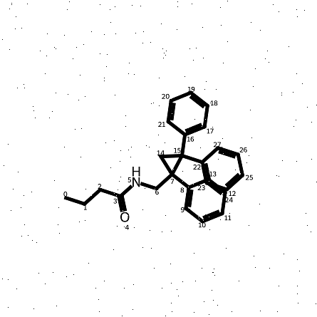 CCCC(=O)NCC1(c2ccccc2)CC1(c1ccccc1)c1ccccc1